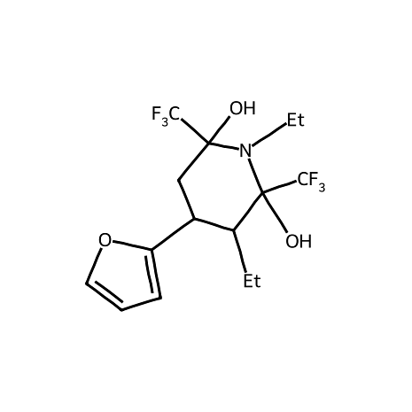 CCC1C(c2ccco2)CC(O)(C(F)(F)F)N(CC)C1(O)C(F)(F)F